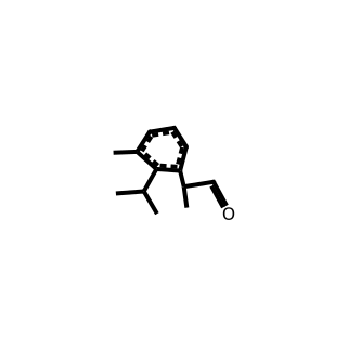 Cc1cccc(C(C)C=O)c1C(C)C